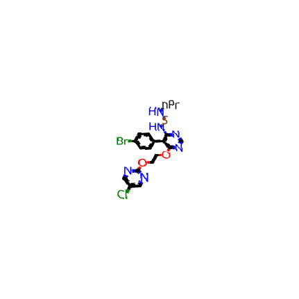 CCCNSNc1ncnc(OCCOc2ncc(Cl)cn2)c1-c1ccc(Br)cc1